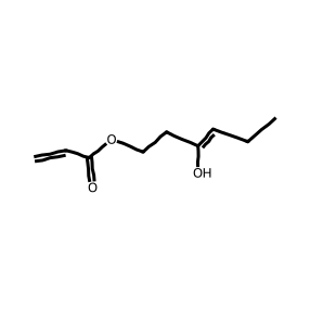 C=CC(=O)OCCC(O)=CCC